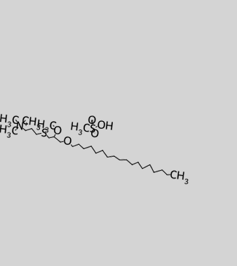 CCCCCCCCCCCCCCCCCCOCC(CSCCC[N+](C)(C)C)OC.CS(=O)(=O)O